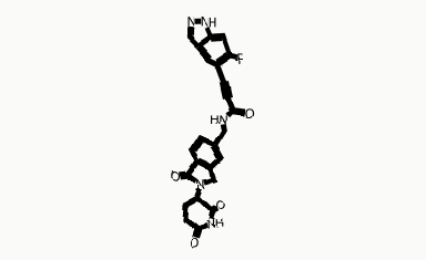 O=C(C#Cc1cc2cn[nH]c2cc1F)NCc1ccc2c(c1)CN(C1CCC(=O)NC1=O)C2=O